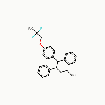 CCC(C)CCC(c1ccccc1)C(c1ccccc1)c1ccc(OCC(F)(F)C(F)(F)F)cc1